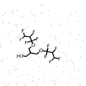 OCC(COC(F)(F)C(F)C(F)F)COC(F)(F)C(F)C(F)F